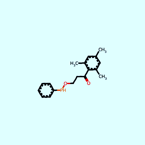 Cc1cc(C)c(C(=O)CCOPc2ccccc2)c(C)c1